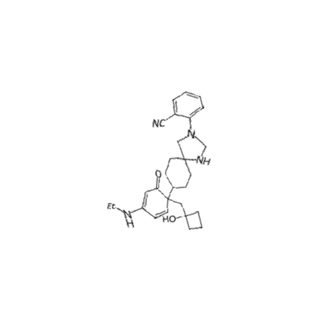 CCNC1=CC(=O)C(CC2(O)CCC2)(C2CCC3(CC2)CN(c2ccccc2C#N)CN3)C=C1